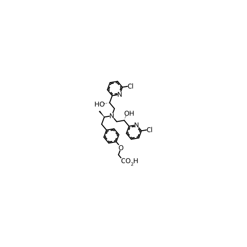 C[C@H](Cc1ccc(OCC(=O)O)cc1)N(C[C@H](O)c1cccc(Cl)n1)C[C@H](O)c1cccc(Cl)n1